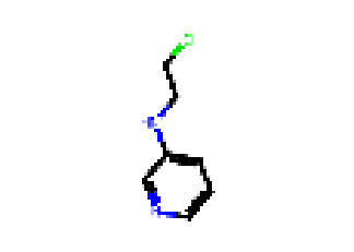 ClCCNc1cccnc1